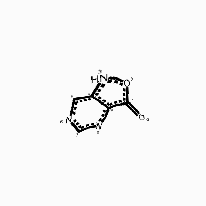 O=c1o[nH]c2cncnc12